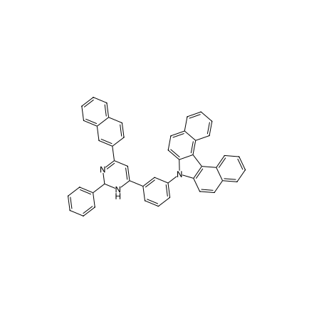 C1=C(c2cccc(-n3c4ccc5ccccc5c4c4c5ccccc5ccc43)c2)NC(c2ccccc2)N=C1c1ccc2ccccc2c1